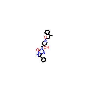 CC(CC(=O)N1CCC(O)(Cn2cnc3c(-c4ccccc4)cnn3c2=O)CC1)c1ccccc1